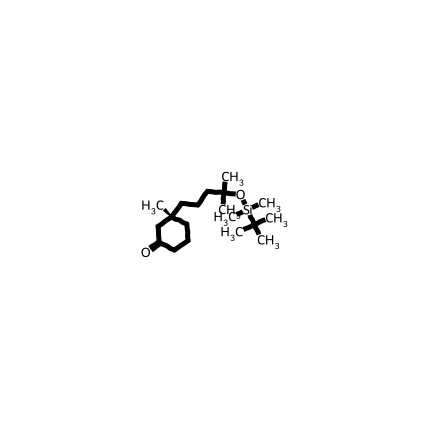 CC(C)(CCC[C@]1(C)CCCC(=O)C1)O[Si](C)(C)C(C)(C)C